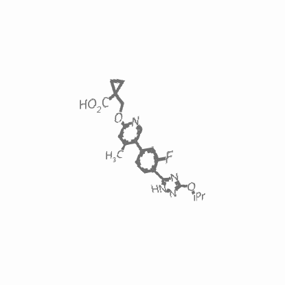 Cc1cc(OCC2(C(=O)O)CC2)ncc1-c1ccc(-c2nc(OC(C)C)n[nH]2)c(F)c1